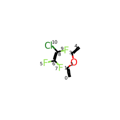 C=COC=C.FC(F)=C(F)Cl